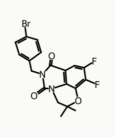 CC1(C)Cn2c(=O)n(Cc3ccc(Br)cc3)c(=O)c3cc(F)c(F)c(c32)O1